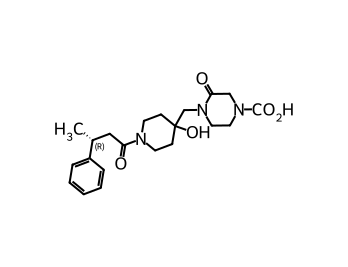 C[C@H](CC(=O)N1CCC(O)(CN2CCN(C(=O)O)CC2=O)CC1)c1ccccc1